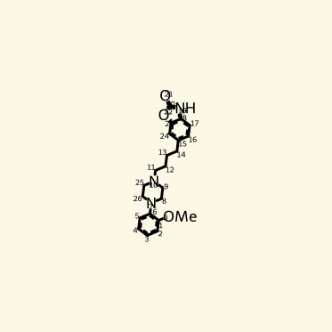 COc1ccccc1N1CCN(CCCCc2ccc3[nH]c(=O)oc3c2)CC1